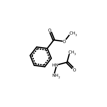 CC(=O)NN.COC(=O)c1ccccc1